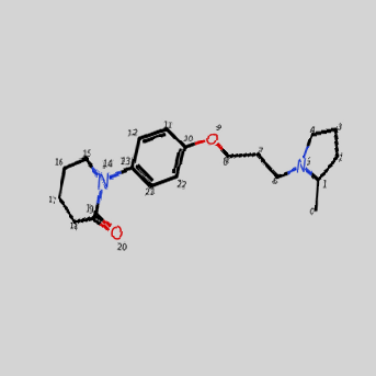 CC1CCCN1CCCOc1ccc(N2CCCCC2=O)cc1